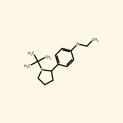 CCOc1ccc(C2CCCN2C(C)(C)C)cc1